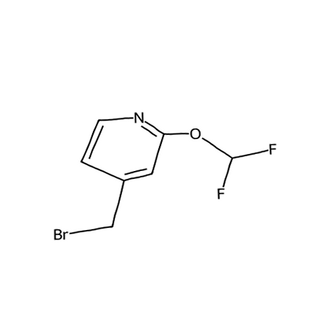 FC(F)Oc1cc(CBr)ccn1